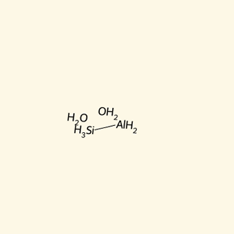 O.O.[AlH2][SiH3]